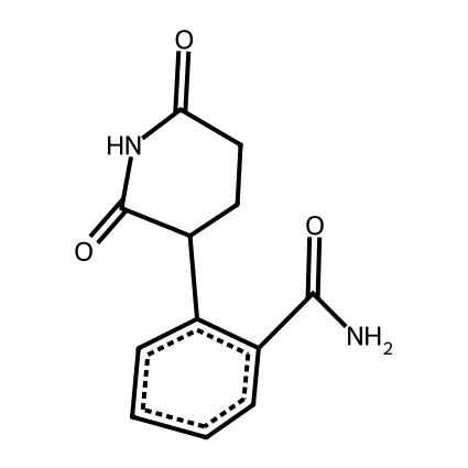 NC(=O)c1ccccc1C1CCC(=O)NC1=O